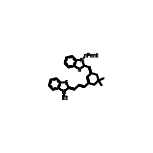 CCCCCN1c2ccccc2SC1C=C1C=C(C=CC=C2Sc3ccccc3N2CC)CC(C)(C)C1